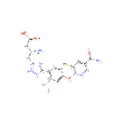 Cl.NC(=O)c1cnc(Oc2ccc(-c3nnn(CC(N)CC(=O)O)n3)c(F)c2)c(F)c1